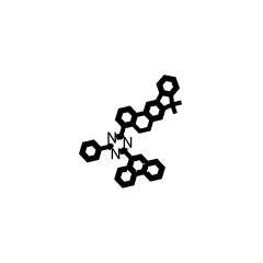 CC1(C)c2ccccc2-c2cc3c(cc21)CCc1c(-c2nc(-c4ccccc4)nc(-c4cc5ccccc5c5ccccc45)n2)cccc1-3